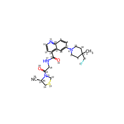 CC1(CF)CCN(c2ccc3nccc(C(=O)NCC(=O)N4CSC[C@H]4C#N)c3c2)CC1